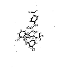 CC(=O)c1ccc(NC(=O)[C@@H]2N[C@@H](CC(C)(C)C)[C@@]3(C(=O)Nc4cc(Cl)ccc43)[C@H]2c2cccc(Cl)c2F)cc1